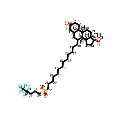 C[C@]12CCC(=O)CC1CC(CCCCCCCCCCCCCS(=O)(=O)CCCC(F)(F)C(F)(F)F)[C@@H]1[C@H]2CC[C@]2(C)C(O)CC[C@@H]12